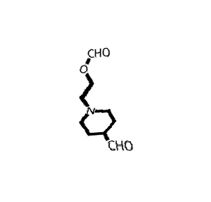 O=COCCN1CCC(C=O)CC1